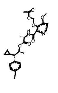 COc1ccnc(C(=O)N[C@@H](C)C(=O)O[C@@H](C)[C@H](c2ccc(F)cc2)C2CC2)c1OCOC(C)=O